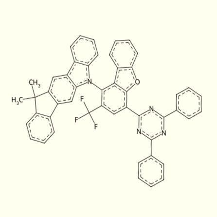 CC1(C)c2ccccc2-c2cc3c(cc21)c1ccccc1n3-c1c(C(F)(F)F)cc(-c2nc(-c3ccccc3)nc(-c3ccccc3)n2)c2oc3ccccc3c12